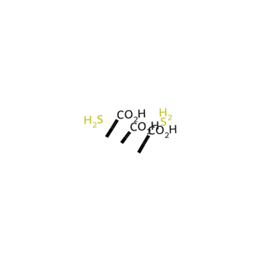 CC(=O)O.CC(=O)O.CC(=O)O.S.S